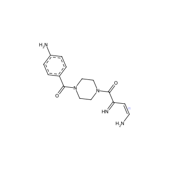 N=C(/C=C\N)C(=O)N1CCN(C(=O)c2ccc(N)cc2)CC1